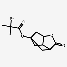 CCC(C)(C)C(=O)OC12CC3OC(=O)C(C1)C3C2